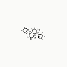 Cc1ccc2c(-c3cccs3)cccc2c1-c1cccs1